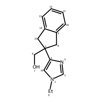 CCn1cnc(C2(CO)Cc3ccccc3C2)c1